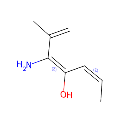 C=C(C)/C(N)=C(O)\C=C/C